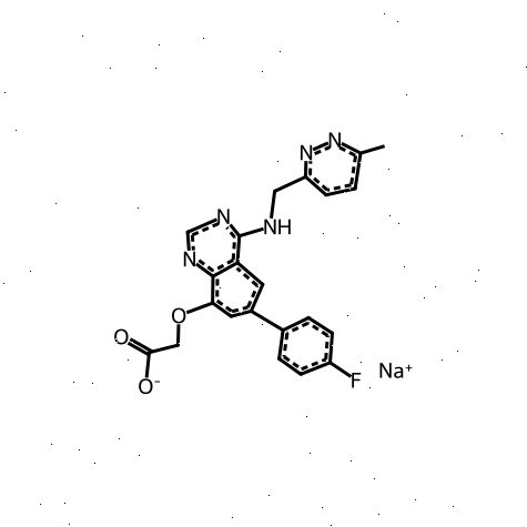 Cc1ccc(CNc2ncnc3c(OCC(=O)[O-])cc(-c4ccc(F)cc4)cc23)nn1.[Na+]